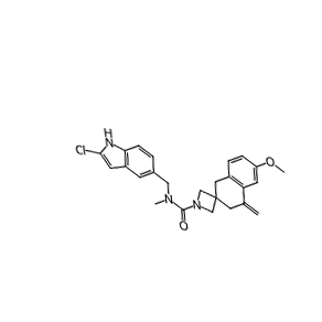 C=C1CC2(Cc3ccc(OC)cc31)CN(C(=O)N(C)Cc1ccc3[nH]c(Cl)cc3c1)C2